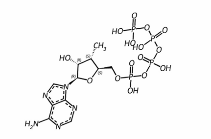 C[C@H]1[C@@H](O)[C@H](n2cnc3c(N)ncnc32)O[C@@H]1COP(=O)(O)OP(=O)(O)OP(=O)(O)OP(=O)(O)O